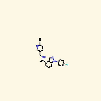 C#Cc1ccc(CNC(=C)c2cccc3c2cnn3-c2ccc(F)cc2)cn1